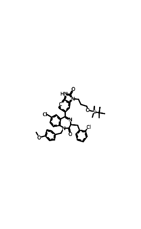 COc1ccc(CN2C(=O)C(Cc3ccccc3Cl)N=C(c3ccc4[nH]c(=O)n(CCCO[Si](C)(C)C(C)(C)C)c4c3)c3cc(Cl)ccc32)cc1